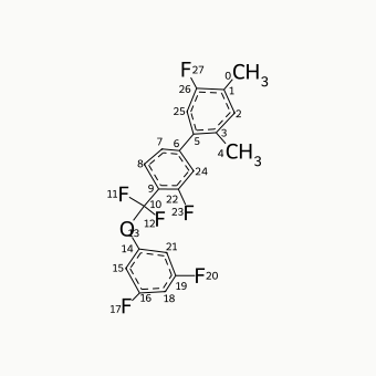 Cc1cc(C)c(-c2ccc(C(F)(F)Oc3cc(F)cc(F)c3)c(F)c2)cc1F